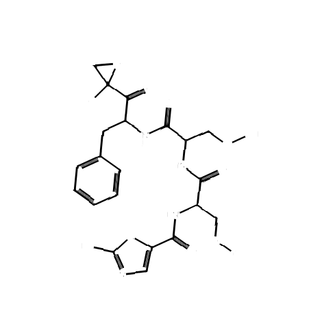 COCC(NC(=O)c1cnc(C)s1)C(=O)NC(COC)C(=O)NC(Cc1ccccc1)C(=O)C1(C)CO1